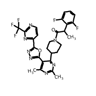 Cc1nc(C)c(-c2nnc(-c3ccnc(C(F)(F)F)n3)o2)c(C2CCN(C(=O)C(C)c3c(F)cccc3F)CC2)n1